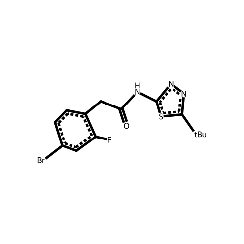 CC(C)(C)c1nnc(NC(=O)Cc2ccc(Br)cc2F)s1